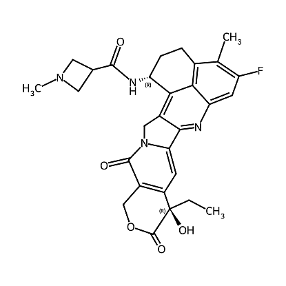 CC[C@]1(O)C(=O)OCc2c1cc1n(c2=O)Cc2c-1nc1cc(F)c(C)c3c1c2[C@H](NC(=O)C1CN(C)C1)CC3